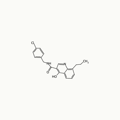 CCCc1cccc2c(O)c(C(=O)NCc3ccc(Cl)cc3)cnc12